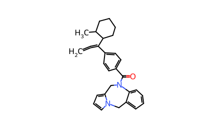 C=C=C(c1ccc(C(=O)N2Cc3cccn3Cc3ccccc32)cc1)C1CCCCC1C